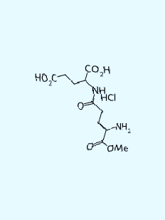 COC(=O)C(N)CCC(=O)NC(CCC(=O)O)C(=O)O.Cl